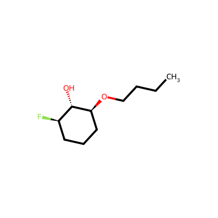 CCCCO[C@H]1CCC[C@@H](F)[C@@H]1O